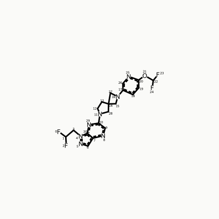 FC(F)Cn1ncc2ncc(N3CCC4(CN(c5ccc(OC(F)F)nc5)C4)C3)nc21